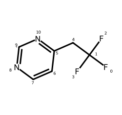 FC(F)(F)Cc1ccn[c]n1